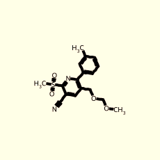 COCOCc1cc(C#N)c(S(C)(=O)=O)nc1-c1cccc(C)c1